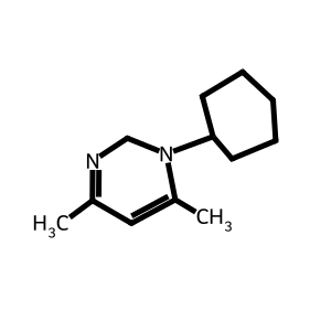 CC1=CC(C)=NCN1C1CCCCC1